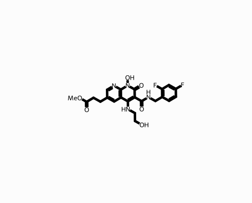 COC(=O)CCc1cnc2c(c1)c(NCCO)c(C(=O)NCc1ccc(F)cc1F)c(=O)n2O